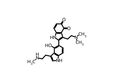 CNCCc1c[nH]c2ccc(-c3[nH]c4c(c3CCN(C)C)C(=O)C(=O)C=C4)c(O)c12